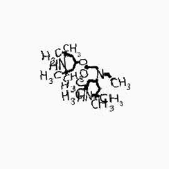 CCN(CC(=O)OC1CC(C)(C)NC(C)(C)C1)C1CC(C)(C)NC(C)(C)C1